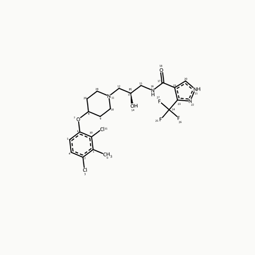 Cc1c(Cl)ccc(OC2CCN(C[C@H](O)CNC(=O)c3c[nH]nc3C(F)(F)F)CC2)c1Cl